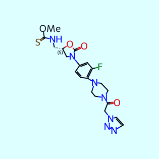 COC(=S)NC[C@H]1CN(c2ccc(N3CCN(C(=O)Cn4ccnn4)CC3)c(F)c2)C(=O)O1